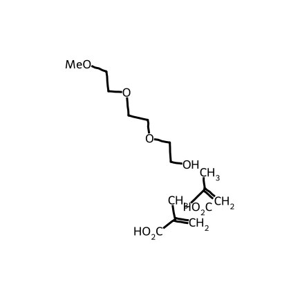 C=C(C)C(=O)O.C=C(C)C(=O)O.COCCOCCOCCO